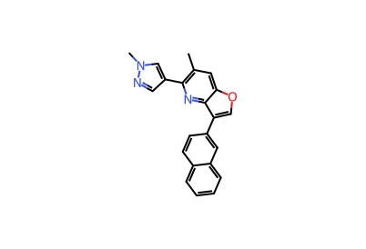 Cc1cc2occ(-c3ccc4ccccc4c3)c2nc1-c1cnn(C)c1